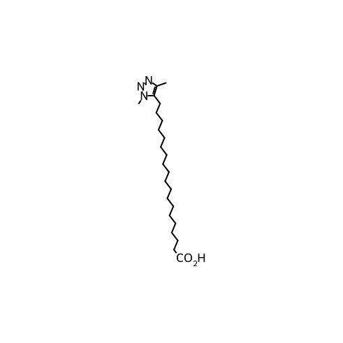 Cc1nnn(C)c1CCCCCCCCCCCCCCCCCCC(=O)O